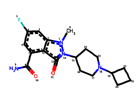 Cn1c2cc(F)cc(C(N)=O)c2c(=O)n1C1CCN(C2CCC2)CC1